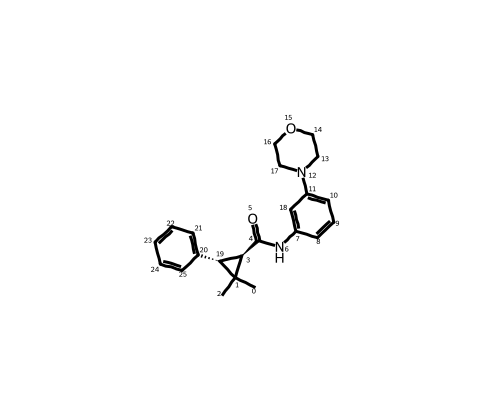 CC1(C)[C@H](C(=O)Nc2cccc(N3CCOCC3)c2)[C@H]1c1ccccc1